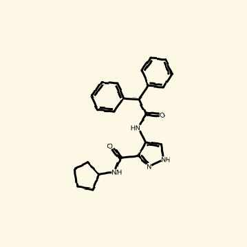 O=C(NC1CCCC1)c1n[nH]cc1NC(=O)C(c1ccccc1)c1ccccc1